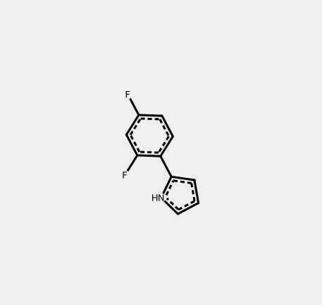 Fc1ccc(-c2ccc[nH]2)c(F)c1